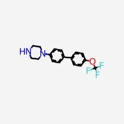 FC(F)(F)Oc1ccc(-c2ccc(N3CCNCC3)cc2)cc1